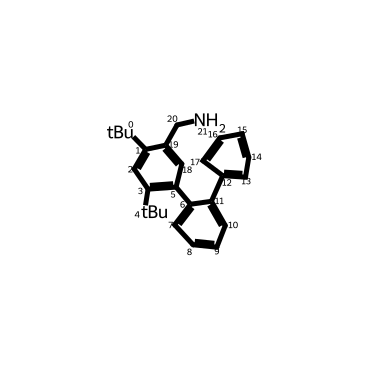 CC(C)(C)c1cc(C(C)(C)C)c(-c2ccccc2-c2ccccc2)cc1CN